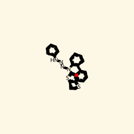 c1ccc(NN=NN(c2cc3sccc3s2)c2ccccc2-c2ccccc2)cc1